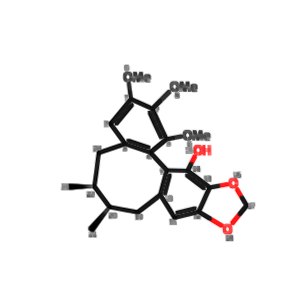 COc1cc2c(c(OC)c1OC)-c1c(cc3c(c1O)OCO3)C[C@@H](C)[C@@H](C)C2